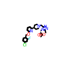 OCc1nnc(CN2CCC(c3cccc(OCc4ccc(Cl)cc4F)n3)CC2)n1C[C@@H]1CCO1